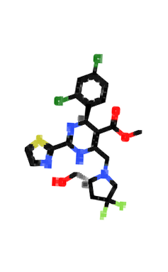 COC(=O)C1=C(CN2CC(F)(F)C[C@@H]2CO)NC(c2nccs2)=N[C@H]1c1ccc(Cl)cc1Cl